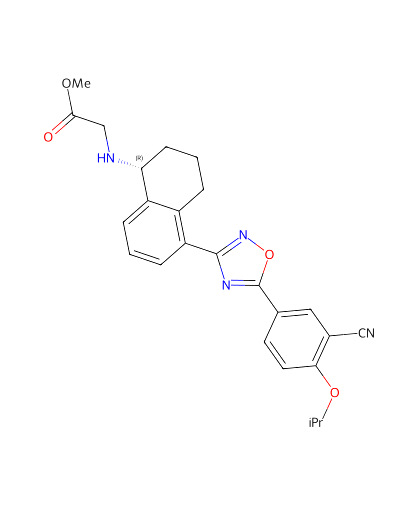 COC(=O)CN[C@@H]1CCCc2c(-c3noc(-c4ccc(OC(C)C)c(C#N)c4)n3)cccc21